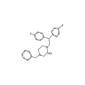 Cl.Fc1ccc(C(CN2CCN(Cc3ccccc3)CC2)c2ccc(F)cc2)cc1